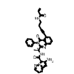 C=CC(=O)NCCC#Cc1cccc2nc([C@H](C)NC(=O)c3c(N)cc4cccnn34)n(-c3ccccc3)c(=O)c12